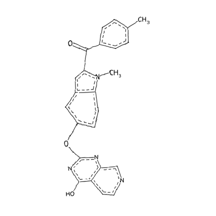 Cc1ccc(C(=O)c2cc3cc(Oc4nc(O)c5ccncc5n4)ccc3n2C)cc1